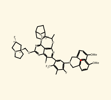 COc1ccc(CN(Cc2ccc(OC)cc2)c2cc(-c3nc4c5c(nc(OC[C@@]67CCCN6C[C@H](F)C7)nc5c3F)N3CC5CCC(C3C(C)O4)N5C(=O)O)c(C(F)(F)F)c(C)c2F)cc1